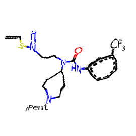 C=CSNCCN(C(=O)Nc1cccc(C(F)(F)F)c1)C1CCN(C(C)CCC)CC1